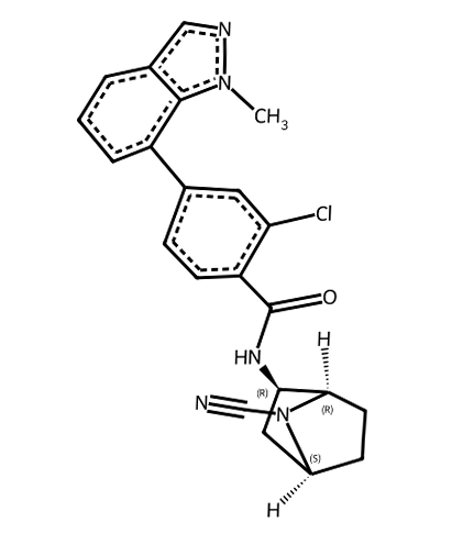 Cn1ncc2cccc(-c3ccc(C(=O)N[C@@H]4C[C@@H]5CC[C@H]4N5C#N)c(Cl)c3)c21